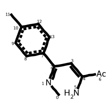 C/N=C(\C=C(/N)C(C)=O)c1ccc(C)cc1